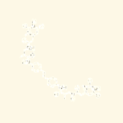 CC(CNC(=O)Cc1cc(=O)[nH]c(=O)n1C)C(=O)Nc1ccc(/C=C/c2ccc(NC(=O)C(C)CNC(=O)Cc3cc(=O)[nH]c(=O)n3C)cc2)cc1